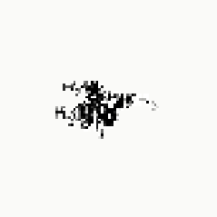 CCOC(=O)CCc1cccc2c1CC(c1ccc3c(nnn3C)c1C)N(C(=O)OC(C)(C)C)C2